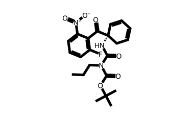 CCCN(C(=O)N[C@]1(C(=O)c2c(F)cccc2[N+](=O)[O-])C=CC=CC1)C(=O)OC(C)(C)C